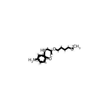 COCCCCO[C@H]1CNc2cc(N)ccc2OC1